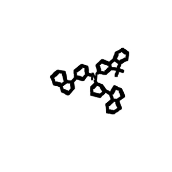 CC1(C)c2ccccc2-c2ccc(N(c3cccc(-c4cccc5ccccc45)c3)c3cccc(-c4cccc5ccccc45)c3)cc21